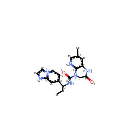 CCC(NC(=O)N1CC(=O)Nc2cc(C)cnc21)c1ccn2ccnc2c1